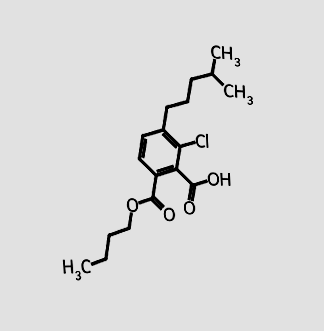 CCCCOC(=O)c1ccc(CCCC(C)C)c(Cl)c1C(=O)O